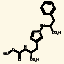 CC(C)(C)OC(=O)N[C@@H](Cc1cn(N[C@@H](Cc2ccccc2)C(=O)O)cn1)C(=O)O